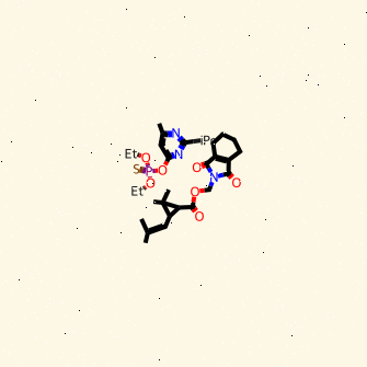 CC(C)=CC1C(C(=O)OCN2C(=O)C3=C(CCCC3)C2=O)C1(C)C.CCOP(=S)(OCC)Oc1cc(C)nc(C(C)C)n1